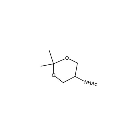 CC(=O)NC1COC(C)(C)OC1